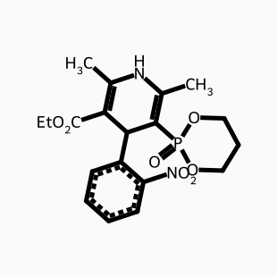 CCOC(=O)C1=C(C)NC(C)=C(P2(=O)OCCCO2)C1c1ccccc1[N+](=O)[O-]